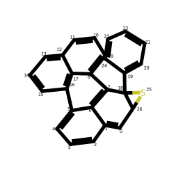 C1=c2cccc3c2c(c2cccc4cccc3c42)C2(c3ccccc3)SC12